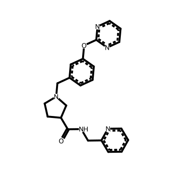 O=C(NCc1ccccn1)C1CCN(Cc2cccc(Oc3ncccn3)c2)C1